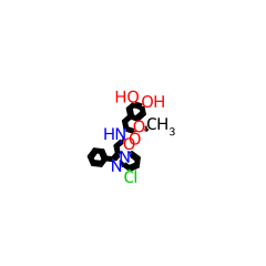 CCOC(=O)C(Cc1ccc(O)c(O)c1)NC(=O)Cc1c(-c2ccccc2)nc2c(Cl)cccn12